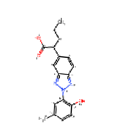 CCCC(C(=O)O)c1ccc2nn(-c3cc(C)ccc3O)nc2c1